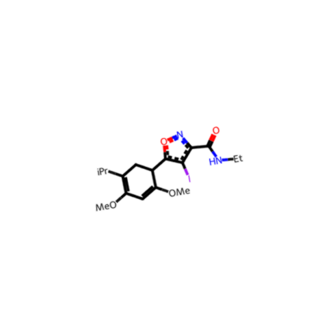 CCNC(=O)c1noc(C2CC(C(C)C)=C(OC)C=C2OC)c1I